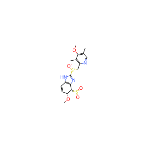 COc1c(C)cnc(C[S+]([O-])c2nc3c([nH]2)C=C[C@@H](OC)C3=S(=O)=O)c1C